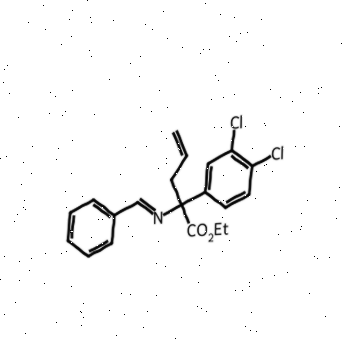 C=CCC(/N=C/c1ccccc1)(C(=O)OCC)c1ccc(Cl)c(Cl)c1